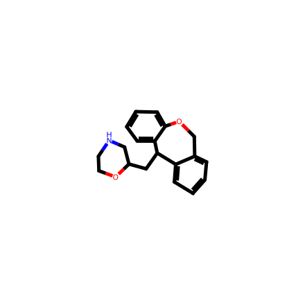 c1ccc2c(c1)COc1ccccc1C2CC1CNCCO1